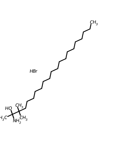 Br.CCCCCCCCCCCCCCCCCCC(C)(C)C(C)(N)O